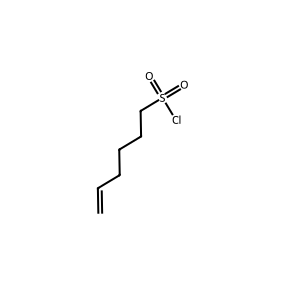 C=CCCCCS(=O)(=O)Cl